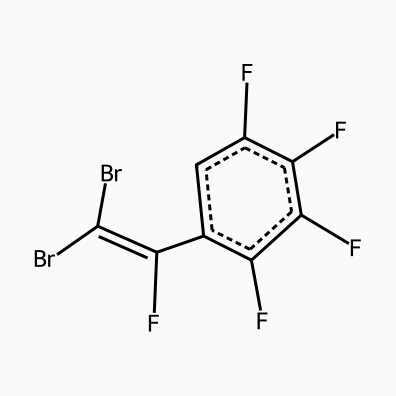 FC(=C(Br)Br)c1cc(F)c(F)c(F)c1F